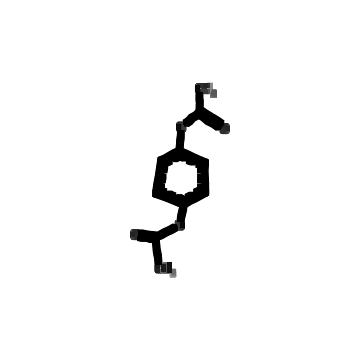 O=C(Oc1ccc(OC(=O)C(Cl)(Cl)Cl)cc1)C(Cl)(Cl)Cl